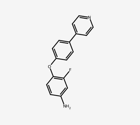 Nc1ccc(Oc2ccc(-c3ccncc3)cc2)c(F)c1